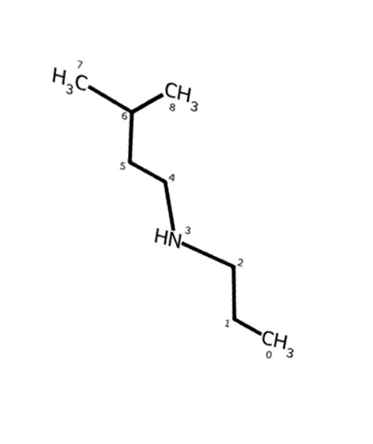 CCCNCCC(C)C